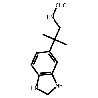 CC(C)(CNC=O)c1ccc2c(c1)NCN2